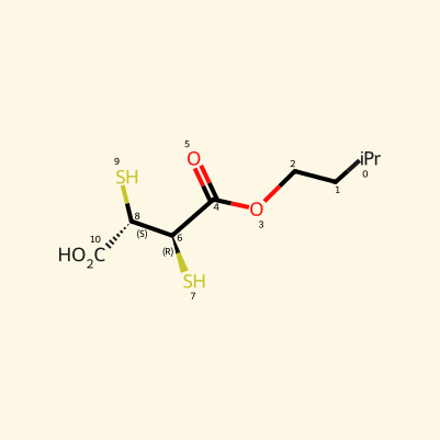 CC(C)CCOC(=O)[C@@H](S)[C@@H](S)C(=O)O